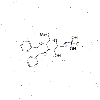 COC1OC(/C=C/P(=O)(O)O)C(O)C(OCc2ccccc2)C1OCc1ccccc1